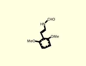 COc1cccc(OC)c1/C=C/NC=O